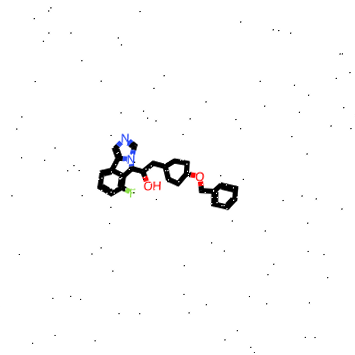 OC(CC1CCC(OCc2ccccc2)CC1)C1c2c(F)cccc2-c2cncn21